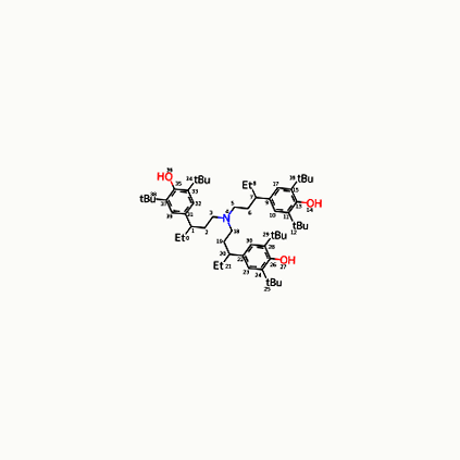 CCC(CCN(CCC(CC)c1cc(C(C)(C)C)c(O)c(C(C)(C)C)c1)CCC(CC)c1cc(C(C)(C)C)c(O)c(C(C)(C)C)c1)c1cc(C(C)(C)C)c(O)c(C(C)(C)C)c1